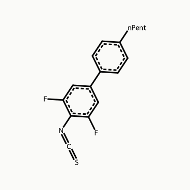 CCCCCc1ccc(-c2cc(F)c(N=C=S)c(F)c2)cc1